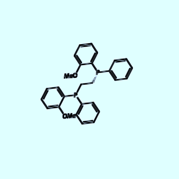 COc1ccccc1P(CC[P@@](c1ccccc1)c1ccccc1OC)c1ccccc1